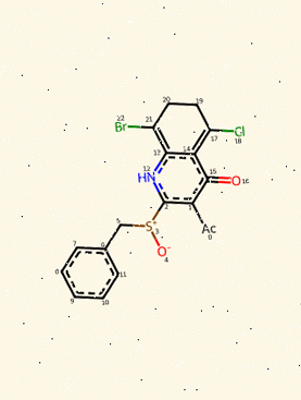 CC(=O)c1c([S+]([O-])Cc2ccccc2)[nH]c2c(c1=O)=C(Cl)CCC=2Br